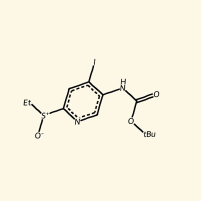 CC[S+]([O-])c1cc(I)c(NC(=O)OC(C)(C)C)cn1